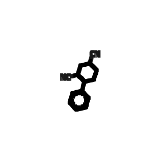 N#CC1CCC(c2ccccc2)C(C#N)C1